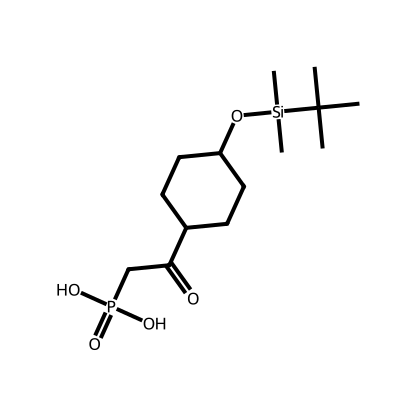 CC(C)(C)[Si](C)(C)OC1CCC(C(=O)CP(=O)(O)O)CC1